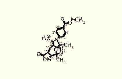 CCOC(=O)c1ccc(-n2c(C)cc(C=C3C(=O)ON=C3C(C)(C)C)c2C)cc1